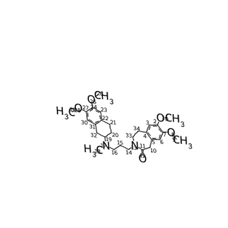 COc1cc2c(cc1OC)CC(=O)N(CCCN(C)C1CCc3cc(OC)c(OC)cc3C1)CC2